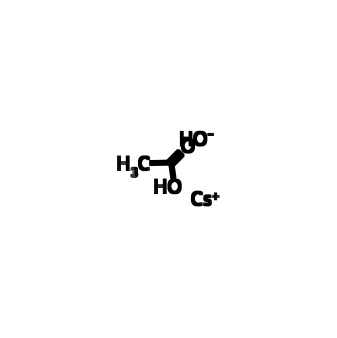 CC(=O)O.[Cs+].[OH-]